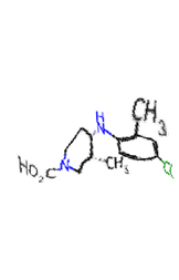 Cc1cc(Cl)ccc1N[C@H]1CCN(C(=O)O)C[C@H]1C